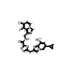 N#Cc1cc(C2CC2)cn2cc(Cc3nnc(C(=O)NCc4ncn5ccc(Cl)c(F)c45)o3)nc12